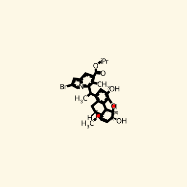 Cc1c(C(=O)OC(C)C)cc2cc(Br)cn2c1C(C)c1cc(O)c2c3c1C[C@@H]1[C@@H]4C=C[C@H](O)[C@H](O2)[C@]34CCN1C